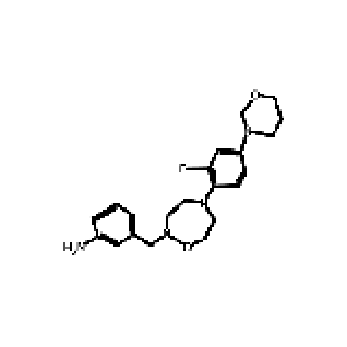 Nc1cccc(CN2CCN(c3ccc(N4CCCOC4)cc3F)CCO2)c1